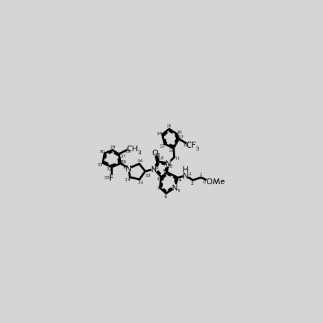 COCCNc1nccc2c1n(Cc1ccccc1C(F)(F)F)c(=O)n2C1CCN(c2c(C)cccc2F)C1